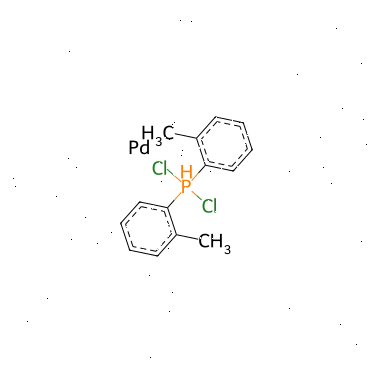 Cc1ccccc1[PH](Cl)(Cl)c1ccccc1C.[Pd]